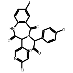 O=C(O)C(c1ccc(Cl)cc1)N1C(=O)c2cc(I)ccc2NC(=O)C1c1ccc(Cl)nc1